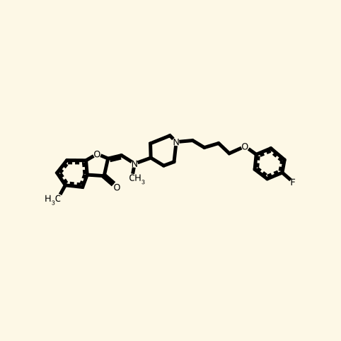 Cc1ccc2c(c1)C(=O)C(=CN(C)C1CCN(CCCCOc3ccc(F)cc3)CC1)O2